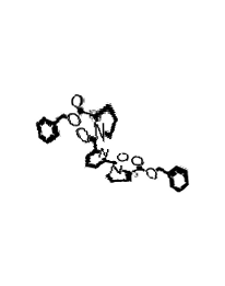 O=C(OCc1ccccc1)[C@H]1CCCN1C(=O)c1cccc(C(=O)N2CCC[C@@H]2C(=O)OCc2ccccc2)n1